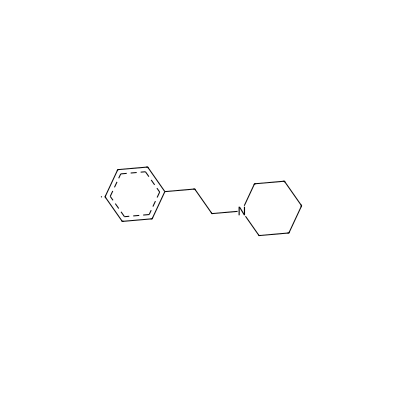 [c]1ccc(CCN2CCCCC2)cc1